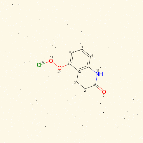 O=C1CCc2c(cccc2OOCl)N1